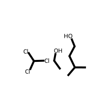 CC(C)CCO.CCO.ClC(Cl)Cl